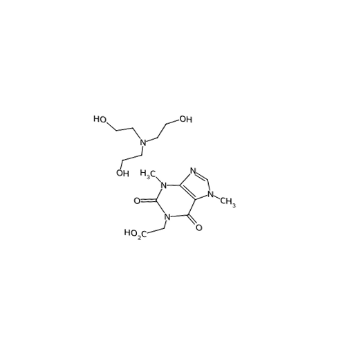 Cn1cnc2c1c(=O)n(CC(=O)O)c(=O)n2C.OCCN(CCO)CCO